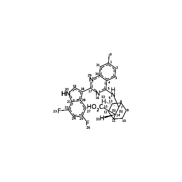 Cc1ccc2c(N[C@H]3C4CCC(CC4)[C@@H]3C(=O)O)nc(-c3c[nH]c4c(F)cc(F)cc34)nc2c1